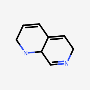 C1=CC2=CCN=CC2[N]C1